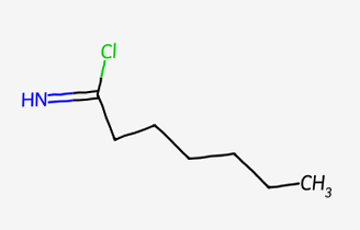 CCCCCCC(=N)Cl